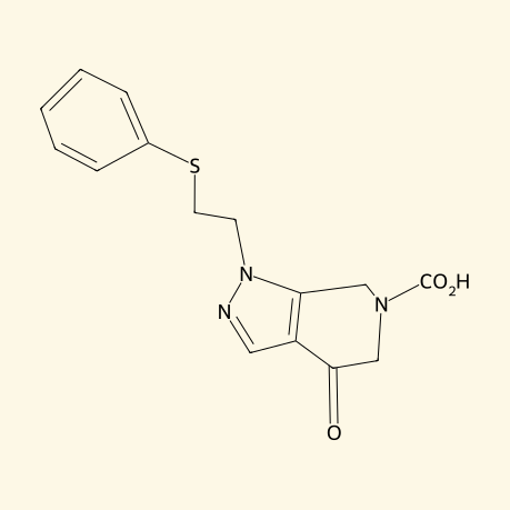 O=C1CN(C(=O)O)Cc2c1cnn2CCSc1ccccc1